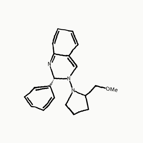 COCC1CCCN1N1C=c2ccccc2=N[C@H]1c1ccccc1